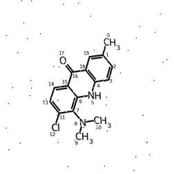 Cc1ccc2[nH]c3c(N(C)C)c(Cl)ccc3c(=O)c2c1